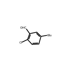 CC(C)(C)c1ccc(Cl)c(C=O)c1